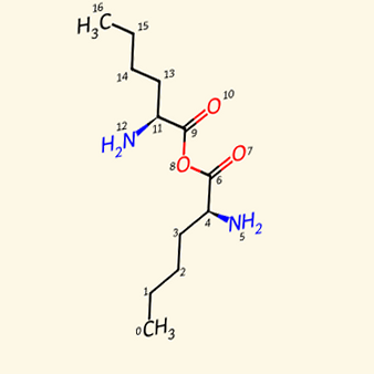 CCCC[C@H](N)C(=O)OC(=O)[C@@H](N)CCCC